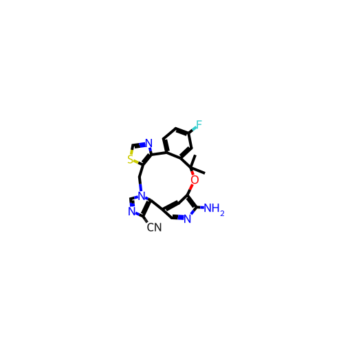 CC1(C)Oc2cc(cnc2N)-c2c(C#N)ncn2Cc2scnc2-c2ccc(F)cc21